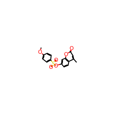 COc1ccc(S(=O)(=O)Oc2ccc3c(C)cc(=O)oc3c2)cc1